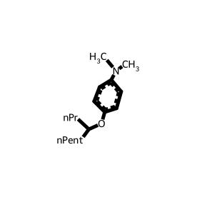 CCCCCC(CCC)Oc1ccc(N(C)C)cc1